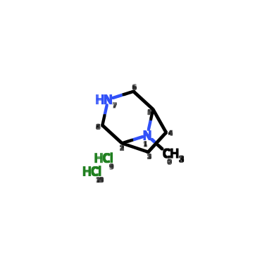 CN1C2CCC1CNC2.Cl.Cl